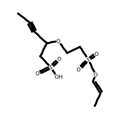 CC#CC(CS(=O)(=O)O)OCCS(=O)(=O)OC=CC